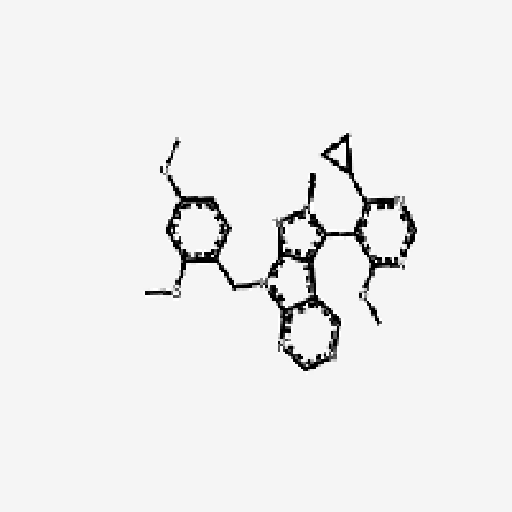 COc1ccc(Cn2c3ncncc3c3c(-c4c(OC)ncnc4C4CC4)n(C)nc32)c(OC)c1